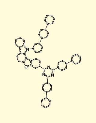 c1ccc(-c2ccc(-c3cccc(-n4c5ccccc5c5ccc6oc7cc(-c8nc(-c9ccc(-c%10ccccc%10)cc9)nc(-c9ccc(-c%10ccccc%10)cc9)n8)ccc7c6c54)c3)cc2)cc1